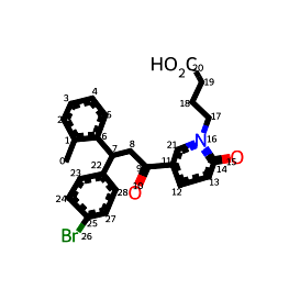 Cc1ccccc1C(CC(=O)c1ccc(=O)n(CCCC(=O)O)c1)c1ccc(Br)cc1